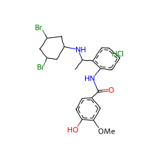 COc1cc(C(=O)Nc2ccccc2C(C)NC2CC(Br)CC(Br)C2)ccc1O.Cl